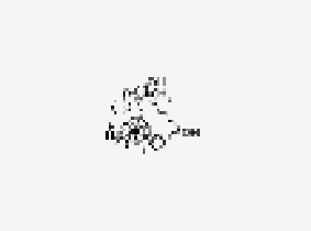 CC(C)(C)[Si](C)(C)O[C@@H](CC[C@H]1C(OC2CCCCO2)C[C@H](O)[C@]1(C)CCCCCCC(=O)O)COc1ccccc1